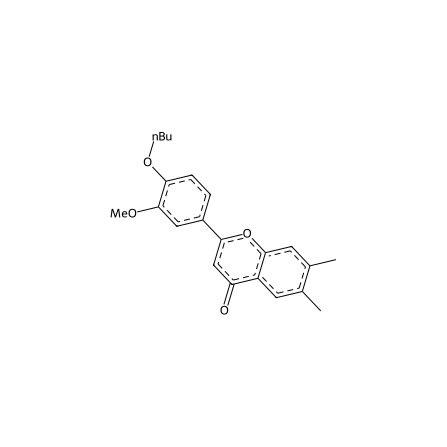 CCCCOc1ccc(-c2cc(=O)c3cc(C)c(C)cc3o2)cc1OC